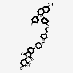 O=C1CCC(N2C(=O)c3ccc(N4CCN(C[C@@H]5CCN(CCOc6ccc([C@@H]7c8ccc(O)cc8CC[C@@H]7c7ccc(F)cc7)cc6)C5)CC4)cc3C2=O)C(=O)N1